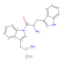 NC(Cc1c[nH]c2ccccc12)C(=O)n1cc(C[C@H](N)C(=O)O)c2ccccc21